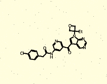 CCC1(n2cc(C(=O)c3cncc(NC(=O)Cc4ccc(Cl)cc4)c3)c3cncnc32)COC1